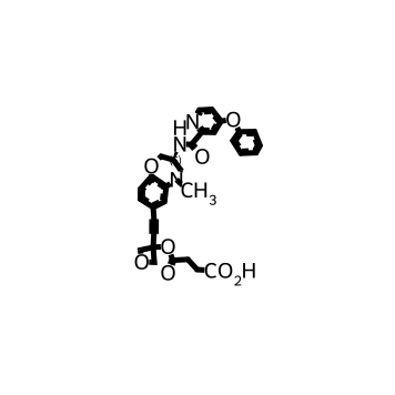 CN1C[C@H](NC(=O)c2cc(Oc3ccccc3)ccn2)COc2ccc(C#CC3(OC(=O)CCC(=O)O)COC3)cc21